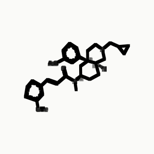 COc1cccc(C=CC(=O)N(C)[C@@H]2CC[C@@H]3CN(CC4CC4)CC[C@@]3(c3cccc(OC(C)=O)c3)C2)c1